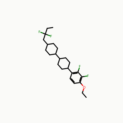 CCOc1ccc(C2CCC(C3CCC(CC(F)(F)CC)CC3)CC2)c(F)c1F